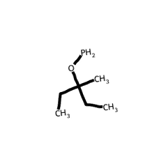 CCC(C)(CC)OP